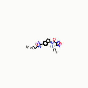 COCc1nc(-c2ccc3c(c2)CCC3NC(=O)c2nonc2C)no1